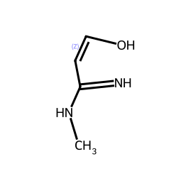 CNC(=N)/C=C\O